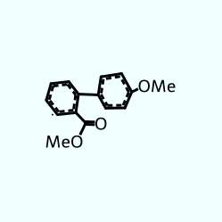 COC(=O)c1[c]cccc1-c1ccc(OC)cc1